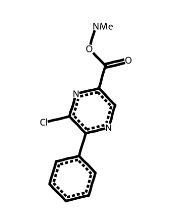 CNOC(=O)c1cnc(-c2ccccc2)c(Cl)n1